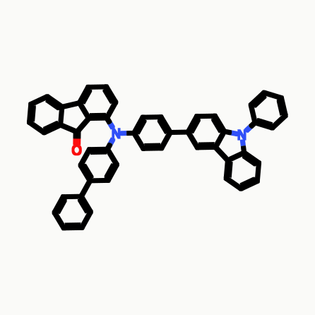 O=C1c2ccccc2-c2cccc(N(c3ccc(-c4ccccc4)cc3)c3ccc(-c4ccc5c(c4)c4ccccc4n5-c4ccccc4)cc3)c21